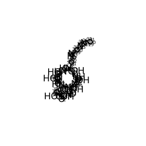 C[C@@H](O)[C@@H]1NC(=O)[C@@H](NC[C@H]2CC[C@H](c3nnc(-c4ccc(N5CCN(CC6CCCCC6)CC5)cc4)s3)CC2)C[C@@H](O)CNC(=O)[C@@H]2[C@@H](O)[C@@H](C)CN2C(=O)[C@H]([C@H](O)CC(N)=O)NC(=O)[C@H]([C@H](O)Cc2ccc(O)c(OS(=O)(=O)O)c2)NC(=O)[C@@H]2CC(O)CN2C1=O